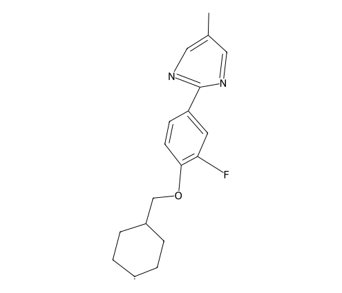 Cc1cnc(-c2ccc(OCC3CC[CH]CC3)c(F)c2)nc1